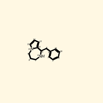 c1ccc(CC2NCCCn3cccc32)cc1